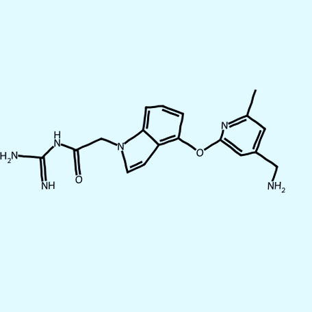 Cc1cc(CN)cc(Oc2cccc3c2ccn3CC(=O)NC(=N)N)n1